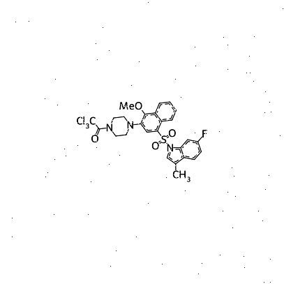 COc1c(N2CCN(C(=O)C(Cl)(Cl)Cl)CC2)cc(S(=O)(=O)n2cc(C)c3ccc(F)cc32)c2ccccc12